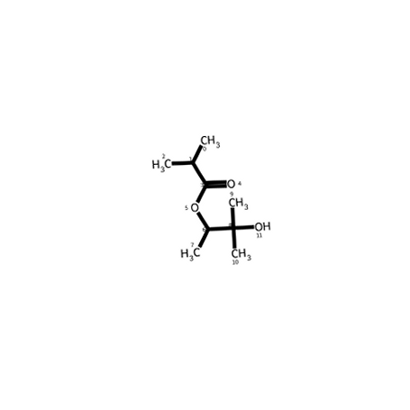 CC(C)C(=O)OC(C)C(C)(C)O